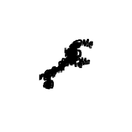 COc1ccc(C2=CN3C(=O)c4cc(OC)c(OCCCOc5cc6c(cc5OC)C(=O)N5C=C(c7ccc(NC(=O)[C@H](C)NC(=O)C(NC(=O)CCCCCN8C(=O)C=CC8=O)C(C)C)cc7)C[C@H]5C=N6)cc4N=C[C@@H]3C2)cc1